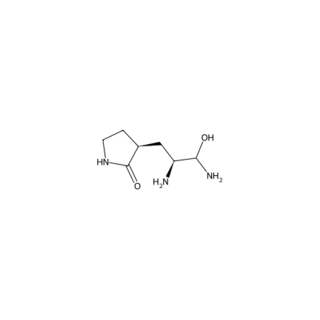 NC(O)[C@@H](N)C[C@@H]1CCNC1=O